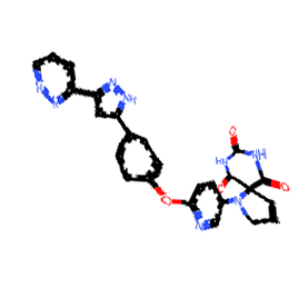 O=C1NC(=O)C2(CCCN2c2ccc(Oc3ccc(-c4cc(-c5cccnn5)n[nH]4)cc3)nc2)C(=O)N1